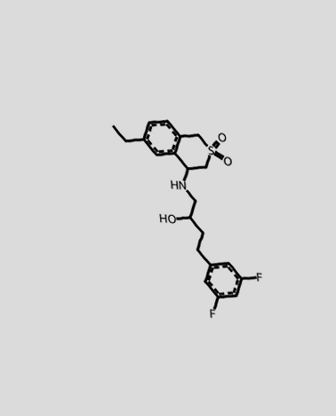 CCc1ccc2c(c1)C(NCC(O)CCc1cc(F)cc(F)c1)CS(=O)(=O)C2